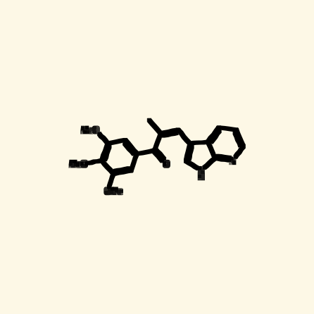 COc1cc(C(=O)C(C)=Cc2c[nH]c3ncccc23)cc(OC)c1OC